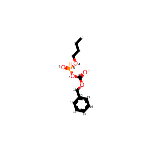 CCCCO[PH](=O)OC(=O)OCc1ccccc1